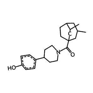 CC1CC2CCC(C(=O)N3CCC(c4ccc(O)cc4)CC3)(C1)CC2C